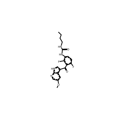 CCCCNC(=O)Nc1ccc(F)c(C(=O)c2c[nH]c3ncc(OC)cc23)c1F